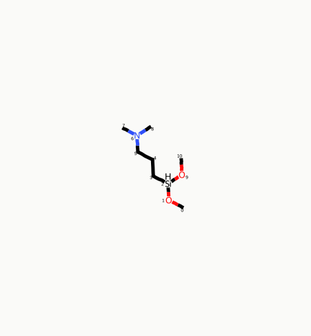 CO[SiH](CCCN(C)C)OC